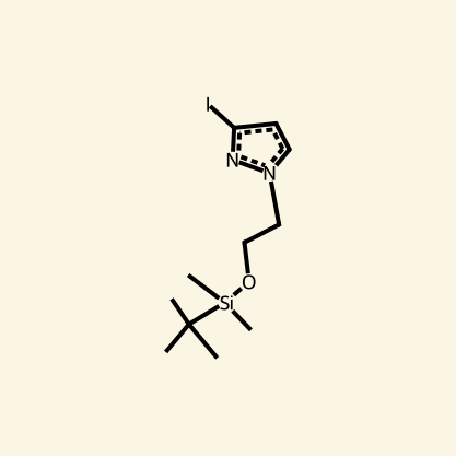 CC(C)(C)[Si](C)(C)OCCn1ccc(I)n1